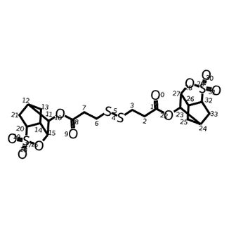 O=C(CCSSCCC(=O)OC1C2CC3C1OS(=O)(=O)C3C2)OC1C2CC3C1OS(=O)(=O)C3C2